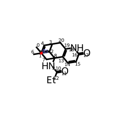 C/C=C1\C2C=C(C)CC1(NC(=O)CC)c1ccc(=O)[nH]c1C2